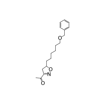 CC(=O)C1=NOC(CCCCCCOCc2ccccc2)C1